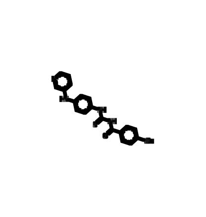 CC(C)(C)c1ccc(C(=O)NC(=S)Nc2ccc(Nc3cccnc3)cc2)cc1